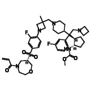 C=CC(=O)N1CCOC[C@@H](S(=O)(=O)c2ccc(N3CC(C)(CN4CCC(C(CN5CCC5)(c5cccc(F)c5)[C@H]5CCC[C@@H]5NC(=O)OC)CC4)C3)c(F)c2)C1